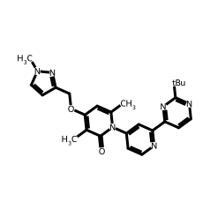 Cc1c(OCc2ccn(C)n2)cc(C)n(-c2ccnc(-c3ccnc(C(C)(C)C)n3)c2)c1=O